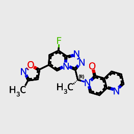 Cc1cc(-c2cc(F)c3nnc([C@@H](C)n4ccc5ncccc5c4=O)n3c2)on1